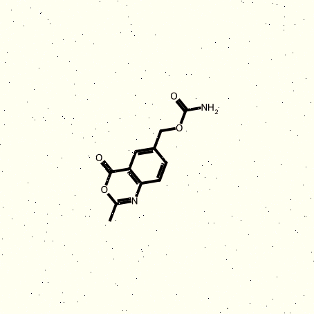 Cc1nc2ccc(COC(N)=O)cc2c(=O)o1